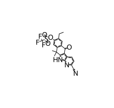 CCc1cc2c(cc1OS(=O)(=O)C(F)(F)F)C(C)(C)c1[nH]c3nc(C#N)ccc3c1C2=O